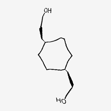 OC[C@H]1CC[C@@H](CO)CC1